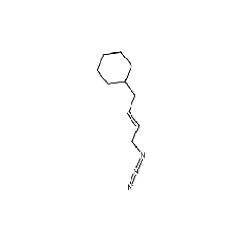 [N-]=[N+]=NCC=CCC1CCCCC1